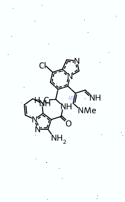 CN/C=C(\C=N)c1c(C(C)NC(=O)c2c(N)nn3c2NCC=C3)cc(Cl)c2cncn12